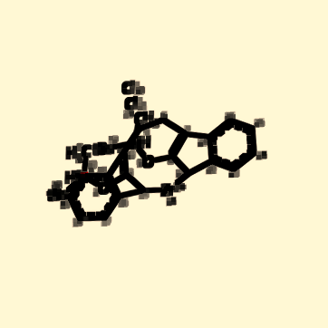 C[SiH](OC1=C2CCC3=C(O[SiH](C)C(C)(C)C)[CH]([Zr+2][CH]1c1ccccc12)c1ccccc13)C(C)(C)C.[Cl-].[Cl-]